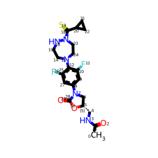 CC(=O)NC[C@H]1CN(c2cc(F)c(N3CCNN(C(=S)C4CC4)CC3)c(F)c2)C(=O)O1